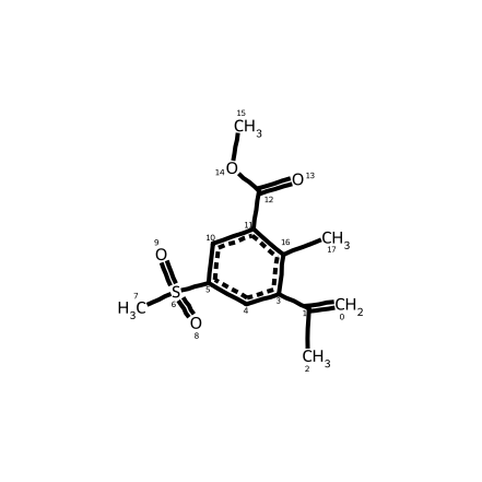 C=C(C)c1cc(S(C)(=O)=O)cc(C(=O)OC)c1C